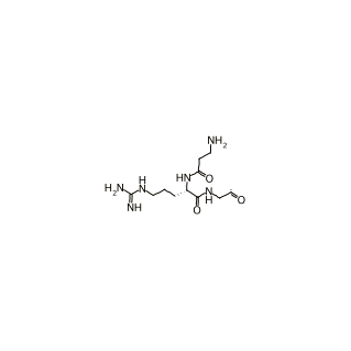 N=C(N)NCCC[C@H](NC(=O)CCN)C(=O)NC[C]=O